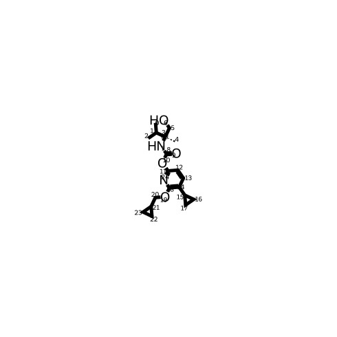 CC(C)[C@@](C)(CO)NC(=O)Oc1ccc(C2CC2)c(OCC2CC2)n1